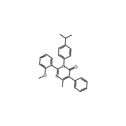 COc1ccccc1-c1nc(C)c(-c2ccccc2)c(=O)n1-c1ccc(C(C)C)cc1